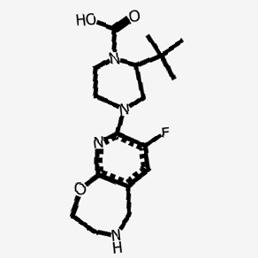 CC(C)(C)C1CN(c2nc3c(cc2F)CNCCO3)CCN1C(=O)O